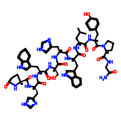 CC(C)C[C@H](NC(=O)[C@@H](Cc1c[nH]c2ccccc12)NC(=O)[C@H](Cc1c[nH]cn1)NC(=O)[C@H](CO)NC(=O)[C@H](Cc1c[nH]c2ccccc12)NC(=O)[C@H](Cc1c[nH]cn1)NC(=O)[C@@H]1CCC(=O)N1)C(=O)N[C@@H](Cc1ccc(O)cc1)C(=O)N1CCC[C@H]1C(=O)NCC(N)=O